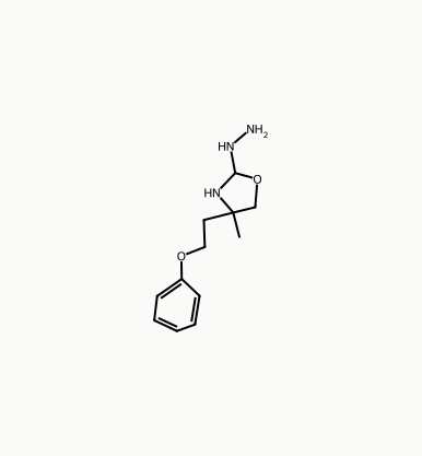 CC1(CCOc2ccccc2)COC(NN)N1